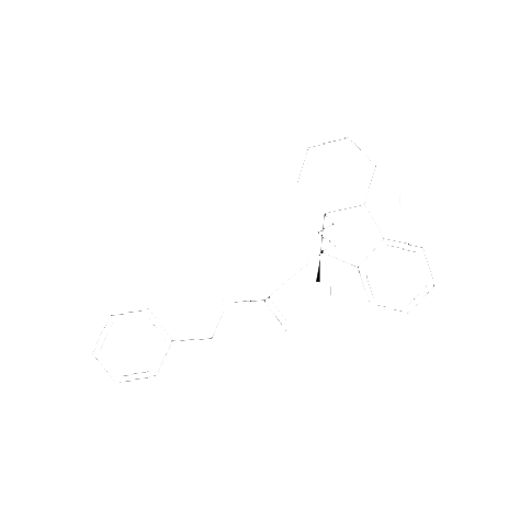 C[C@@]12c3ccccc3[C@@H]3CCCC[C@@]31CCN2C(=O)OCc1ccccc1